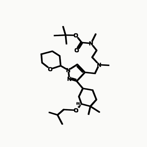 CC(C)CO[C@@H]1CC(c2nn(C3CCCCO3)cc2CN(C)CCN(C)C(=O)OC(C)(C)C)CCC1(C)C